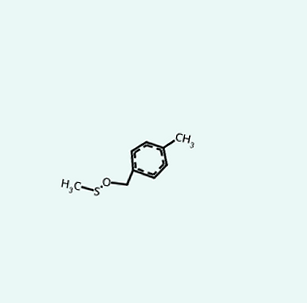 CSOCc1ccc(C)cc1